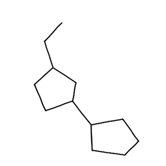 CCC1CCC(C2CCCC2)C1